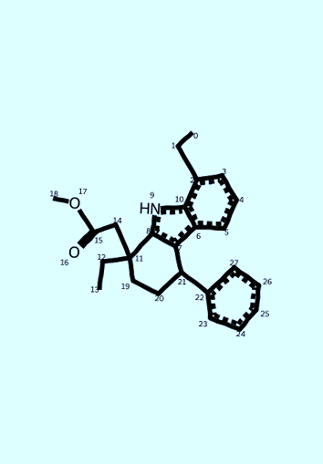 CCc1cccc2c3c([nH]c12)C(CC)(CC(=O)OC)CCC3c1ccccc1